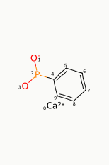 [Ca+2].[O-]P([O-])c1ccccc1